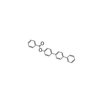 O=C(Oc1ccc(-c2ccc(-c3ccccc3)cc2)cc1)c1ccccc1